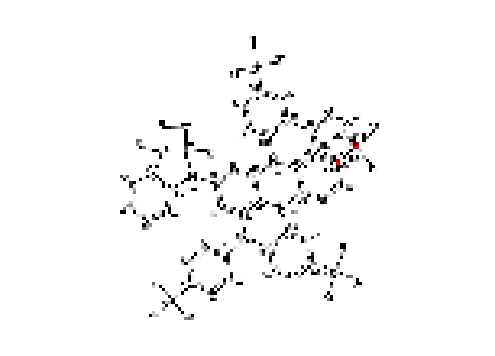 CC(C)(C)c1ccc(N2c3ccc(C(C)(C)C)cc3B3c4ccc(C(C)(C)C)cc4N(c4ccc(C(C)(C)C)cc4-c4ccccc4)c4cc(N5c6ccccc6C6(C)CCC56C)cc2c43)cc1